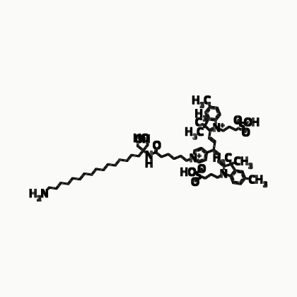 Cc1ccc2c(c1)C(C)(C)C(/C=C/C(=C/C=C1/N(CCCS(=O)(=O)O)c3ccc(C)cc3C1(C)C)c1cc[n+](CCCCCC(=O)NC(CO)(CO)CCCCCCCCCCCCCCCCN)cc1)=[N+]2CCCS(=O)(=O)O